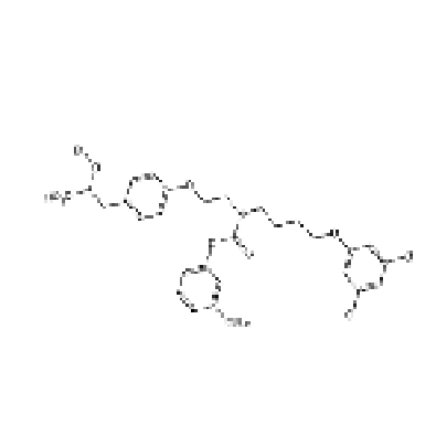 CCOC(Cc1ccc(OCCN(CCCCOc2cc(Cl)cc(Cl)c2)C(=O)Oc2cccc(OC)c2)cc1)C(=O)O